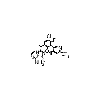 CC(C)Oc1c(C(C)C2N=C(Cl)c3c(N)ncc[n+]32)cc(Cl)c(F)c1-c1ccc(C(F)(F)F)nc1